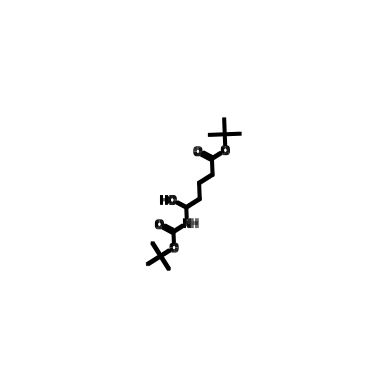 CC(C)(C)OC(=O)CCCC(O)NC(=O)OC(C)(C)C